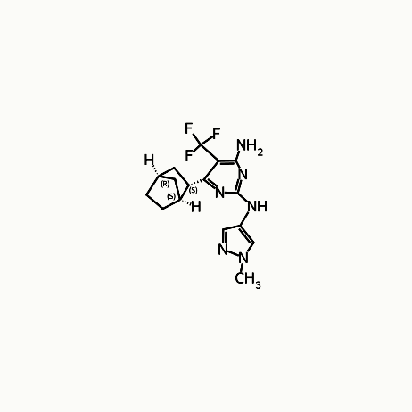 Cn1cc(Nc2nc(N)c(C(F)(F)F)c([C@H]3C[C@@H]4CC[C@H]3C4)n2)cn1